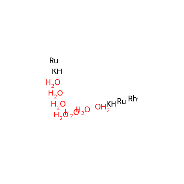 O.O.O.O.O.O.O.[KH].[KH].[Rh].[Ru].[Ru]